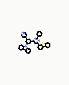 c1ccc(-c2nc(-c3cc(-c4ccncc4)cc(-n4c5ccccc5c5ccccc54)c3)cc(-c3cccc4c3sc3ccccc34)n2)cc1